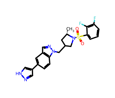 C[C@H]1CC(Cn2ncc3cc(-c4cn[nH]c4)ccc32)CN1S(=O)(=O)c1cccc(F)c1F